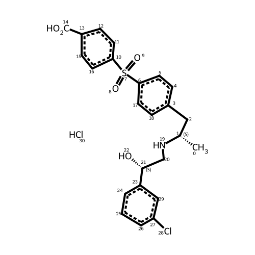 C[C@@H](Cc1ccc(S(=O)(=O)c2ccc(C(=O)O)cc2)cc1)NC[C@@H](O)c1cccc(Cl)c1.Cl